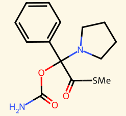 CSC(=O)C(OC(N)=O)(c1ccccc1)N1CCCC1